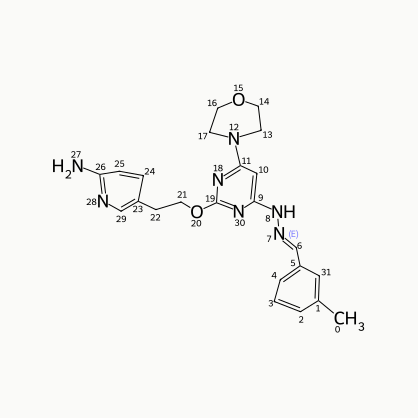 Cc1cccc(/C=N/Nc2cc(N3CCOCC3)nc(OCCc3ccc(N)nc3)n2)c1